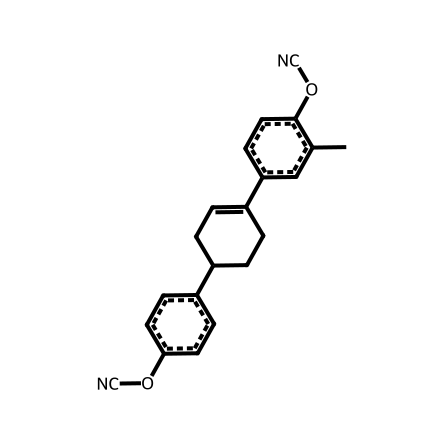 Cc1cc(C2=CCC(c3ccc(OC#N)cc3)CC2)ccc1OC#N